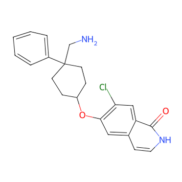 NCC1(c2ccccc2)CCC(Oc2cc3cc[nH]c(=O)c3cc2Cl)CC1